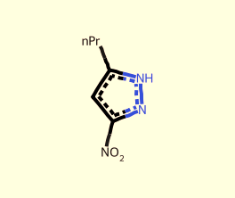 CCCc1cc([N+](=O)[O-])n[nH]1